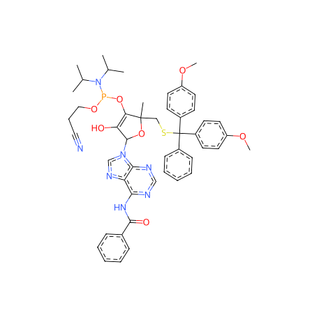 COc1ccc(C(SCC2(C)OC(n3cnc4c(NC(=O)c5ccccc5)ncnc43)C(O)=C2OP(OCCC#N)N(C(C)C)C(C)C)(c2ccccc2)c2ccc(OC)cc2)cc1